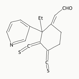 CCC1(c2cccnc2)C(=C=S)C(=C=S)CCC1=CC=O